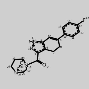 O=C(c1n[nH]c2c1CCC(c1ccc(F)cc1)=C2)N1CCN2CCC1CC2